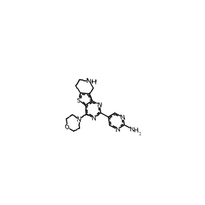 Nc1ncc(-c2nc(N3CCOCC3)c3sc4c(c3n2)CNCC4)cn1